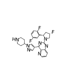 Fc1ccc(F)c([C@H]2C[C@H](F)CN2c2nc(-c3cnn(C4CCNCC4)c3)c3ncccc3n2)c1